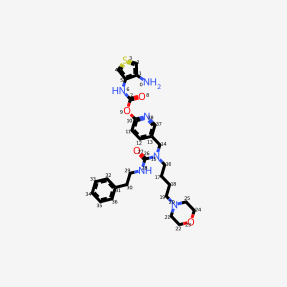 Nc1cscc1NC(=O)Oc1ccc(CN(CCCCN2CCOCC2)C(=O)NCCc2ccccc2)cn1